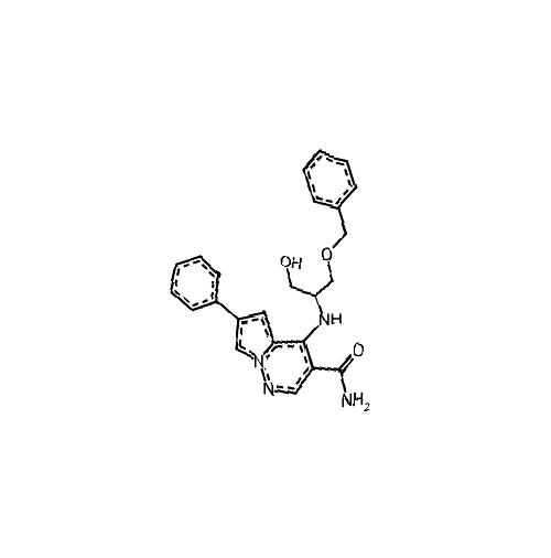 NC(=O)c1cnn2cc(-c3ccccc3)cc2c1NC(CO)COCc1ccccc1